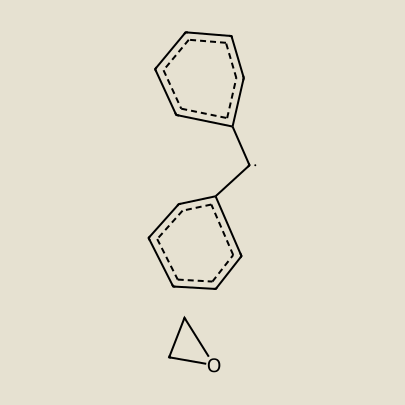 C1CO1.[CH](c1ccccc1)c1ccccc1